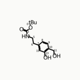 CC(C)(C)OC(=O)NCCc1ccc(CO)c(O)c1